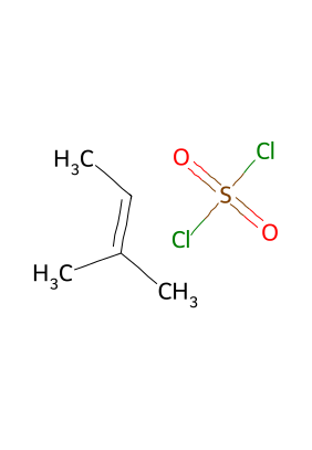 CC=C(C)C.O=S(=O)(Cl)Cl